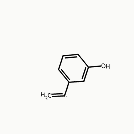 C=[C]c1cccc(O)c1